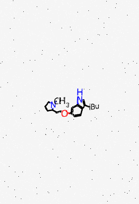 CCC(C)c1c[nH]c2cc(OCCC3CCCN3C)ccc12